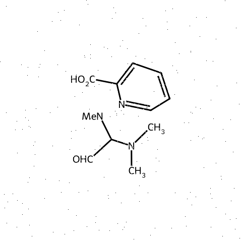 CNC(C=O)N(C)C.O=C(O)c1ccccn1